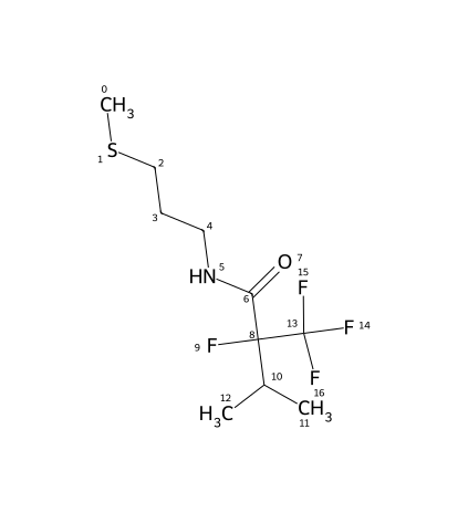 CSCCCNC(=O)C(F)(C(C)C)C(F)(F)F